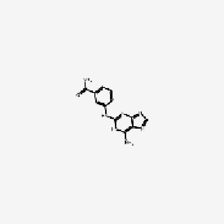 NC(=O)c1cccc(Nc2nc3ncnc-3c(N)[nH]2)c1